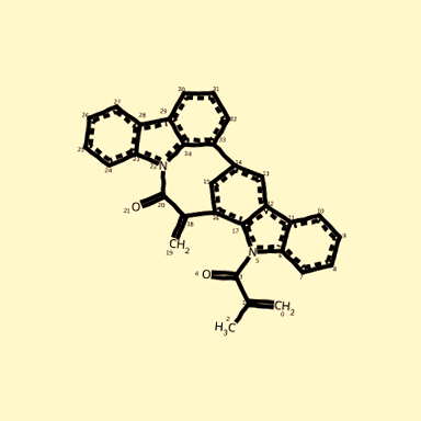 C=C(C)C(=O)n1c2ccccc2c2cc3cc(c21)C(=C)C(=O)n1c2ccccc2c2cccc-3c21